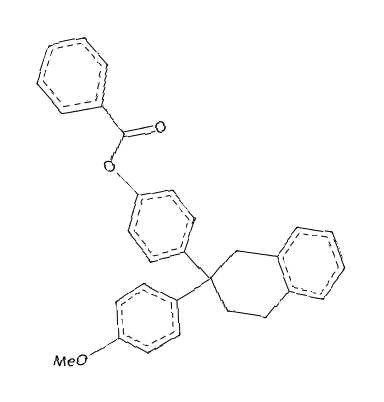 COc1ccc(C2(c3ccc(OC(=O)c4ccccc4)cc3)CCc3ccccc3C2)cc1